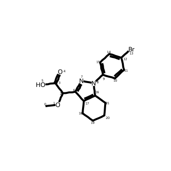 COC(C(=O)O)c1nn(-c2ccc(Br)cc2)c2c1CCCC2